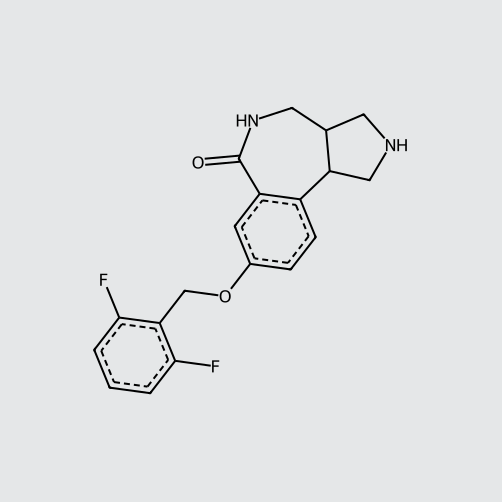 O=C1NCC2CNCC2c2ccc(OCc3c(F)cccc3F)cc21